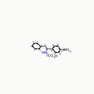 O=C(O)NC(Cc1ccccc1)c1ccc([N+](=O)[O-])cc1